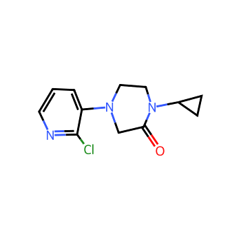 O=C1CN(c2cccnc2Cl)CCN1C1CC1